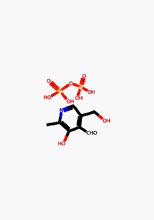 Cc1ncc(CO)c(C=O)c1O.O=P(O)(O)OP(=O)(O)O